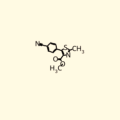 COC(=O)c1nc(C)sc1-c1ccc(C#N)cc1